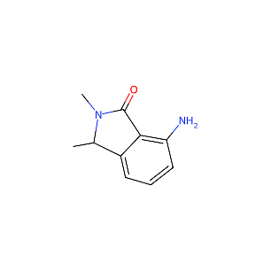 CC1c2cccc(N)c2C(=O)N1C